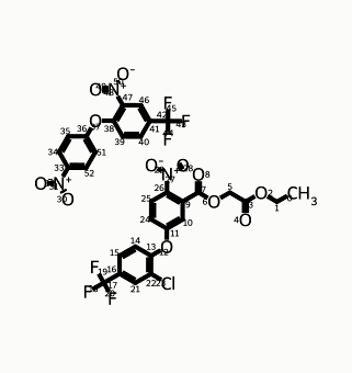 CCOC(=O)COC(=O)c1cc(Oc2ccc(C(F)(F)F)cc2Cl)ccc1[N+](=O)[O-].O=[N+]([O-])c1ccc(Oc2ccc(C(F)(F)F)cc2[N+](=O)[O-])cc1